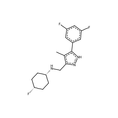 Cc1c(CN[C@H]2CC[C@@H](F)CC2)n[nH]c1-c1cc(F)cc(F)c1